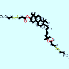 C[C@H](CCCC(C)(C)OC(=O)CCSSCCC(=O)O)[C@H]1CC[C@@]2(C)C3CC=C4C(C)(C)C(OC(=O)CCSSCCC(=O)O)CC[C@]4(C)C3CC[C@]12C